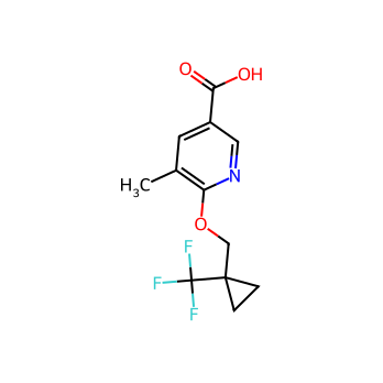 Cc1cc(C(=O)O)cnc1OCC1(C(F)(F)F)CC1